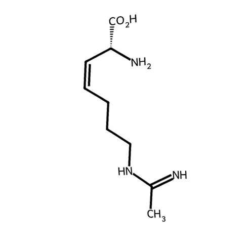 CC(=N)NCCC/C=C\[C@@H](N)C(=O)O